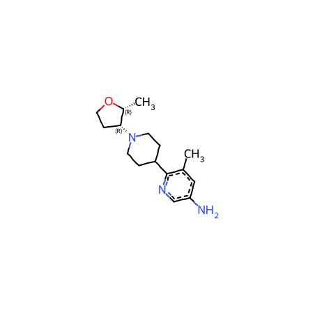 Cc1cc(N)cnc1C1CCN([C@@H]2CCO[C@@H]2C)CC1